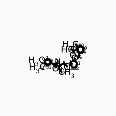 Cc1ccc(-c2nc(COC3CCCC(OCc4cccc(C)c4C(=O)O)C3)c(C)o2)cc1C